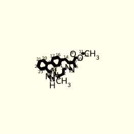 CCCCn1ncc(C(=O)OCC)c1Cc1ccc(-c2ccccc2-c2nn[nH]n2)cc1